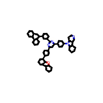 c1cc(-c2nc(-c3ccc(-c4cccc5c4oc4ccccc45)cc3)cc(-c3ccc(-n4c5ccccc5c5cnccc54)cc3)n2)cc(-c2cc3ccccc3c3ccccc23)c1